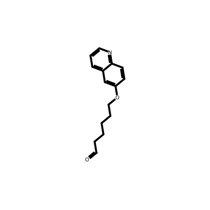 O=[C]CCCCCOc1ccc2ncccc2c1